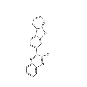 Clc1nc2ccccc2nc1-c1ccc2c(c1)oc1ccccc12